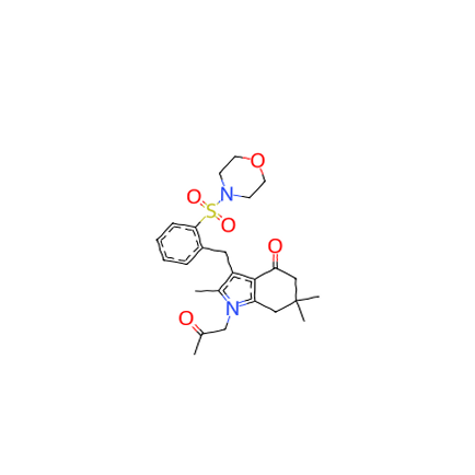 CC(=O)Cn1c(C)c(Cc2ccccc2S(=O)(=O)N2CCOCC2)c2c1CC(C)(C)CC2=O